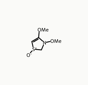 COC1=C[S+]([O-])CN1OC